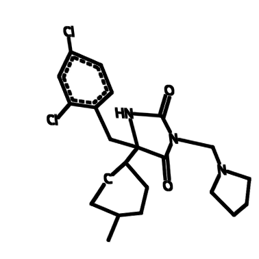 CC1CCC(C2(Cc3ccc(Cl)cc3Cl)NC(=O)N(CN3CCCC3)C2=O)CC1